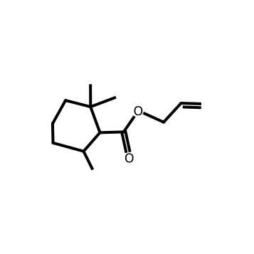 C=CCOC(=O)C1C(C)CCCC1(C)C